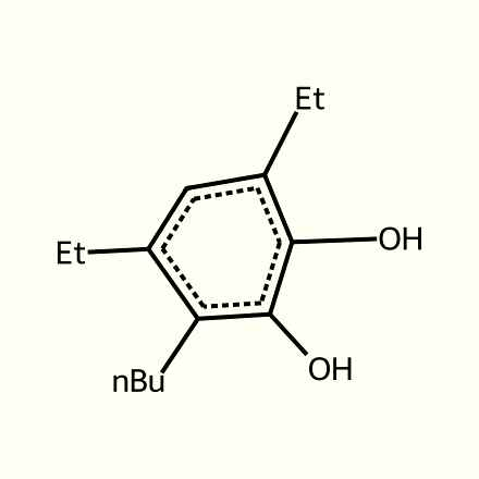 CCCCc1c(CC)cc(CC)c(O)c1O